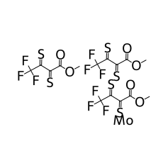 COC(=O)C(=S)C(=S)C(F)(F)F.COC(=O)C(=S)C(=S)C(F)(F)F.COC(=O)C(=S)C(=S)C(F)(F)F.[Mo]